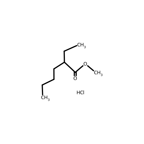 CCCCC(CC)C(=O)OC.Cl